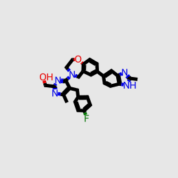 Cc1nc2cc(-c3ccc4c(c3)CN(c3nc(CO)nc(C)c3Cc3ccc(F)cc3)CCO4)ccc2[nH]1